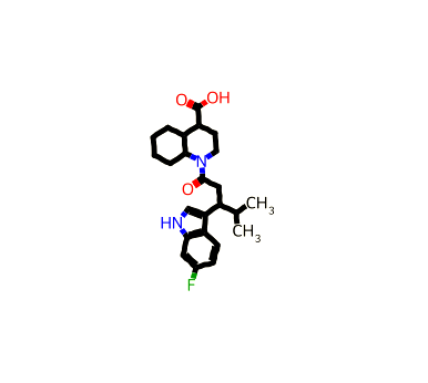 CC(C)C(CC(=O)N1CCC(C(=O)O)C2CCCCC21)c1c[nH]c2cc(F)ccc12